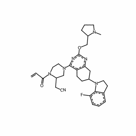 C=CC(=O)N1CCN(c2nc(OCC3CCCN3C)nc3c2CCC(N2CCc4cccc(F)c42)C3)CC1CC#N